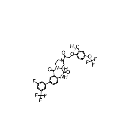 Cc1cc(OC(F)(F)F)ccc1OCC(=O)N1CCN2C(=O)c3cc(-c4cc(F)cc(C(F)(F)F)c4)ccc3NC(=O)[C@@H]2C1